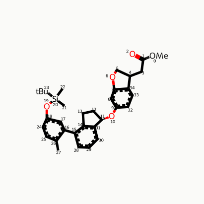 COC(=O)CC1COc2cc(O[C@@H]3CCc4c(-c5cc(O[Si](C)(C)C(C)(C)C)ccc5C)cccc43)ccc21